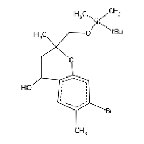 Cc1cc2c(cc1Br)OC(C)(CO[Si](C)(C)C(C)(C)C)CC2O